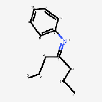 CCCC(CCC)=Nc1ccccc1